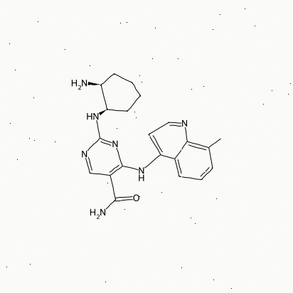 Cc1cccc2c(Nc3nc(N[C@@H]4CCCC[C@@H]4N)ncc3C(N)=O)ccnc12